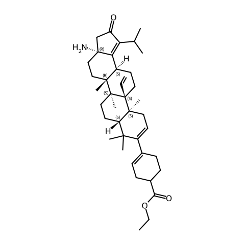 C=C[C@]12CC[C@@H]3C4=C(C(C)C)C(=O)C[C@]4(N)CC[C@@]3(C)[C@]1(C)CC[C@H]1C(C)(C)C(C3=CCC(C(=O)OCC)CC3)=CC[C@@]12C